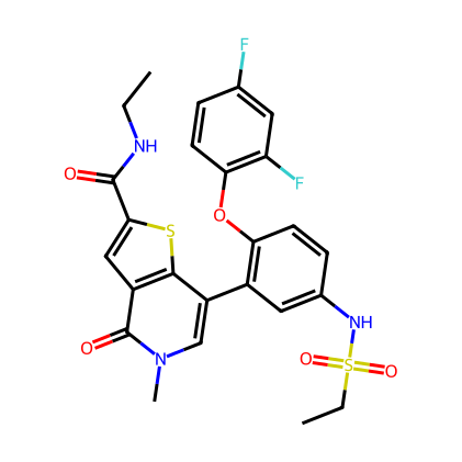 CCNC(=O)c1cc2c(=O)n(C)cc(-c3cc(NS(=O)(=O)CC)ccc3Oc3ccc(F)cc3F)c2s1